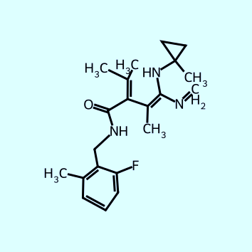 C=N/C(NC1(C)CC1)=C(\C)C(C(=O)NCc1c(C)cccc1F)=C(C)C